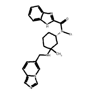 CCN(C(=O)c1nc2ccccc2[nH]1)[C@H]1CCCC(C)(NCc2ccc3cncn3c2)C1